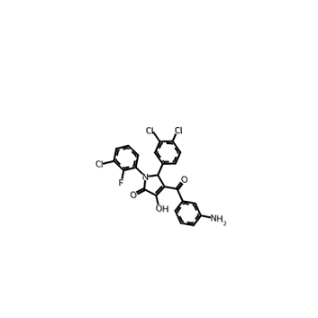 Nc1cccc(C(=O)C2=C(O)C(=O)N(c3cccc(Cl)c3F)C2c2ccc(Cl)c(Cl)c2)c1